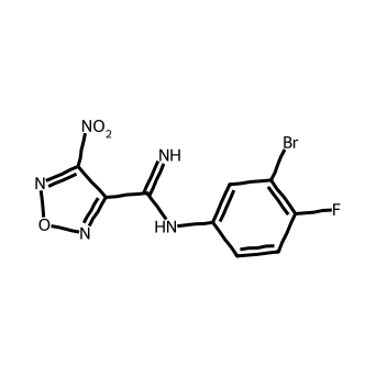 N=C(Nc1ccc(F)c(Br)c1)c1nonc1[N+](=O)[O-]